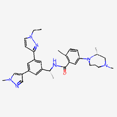 CCn1ccc(-c2cc(-c3cnn(C)c3)cc([C@@H](C)NC(=O)c3cc(N4CCN(C)C[C@H]4C)ccc3C)c2)n1